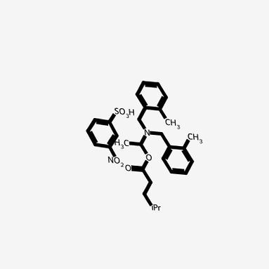 Cc1ccccc1CN(Cc1ccccc1C)C(C)OC(=O)CCC(C)C.O=[N+]([O-])c1cccc(S(=O)(=O)O)c1